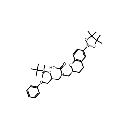 CC1(C)OB(c2ccc3c(c2)CC[C@@H](CN(C[C@@H](COc2ccccc2)O[Si](C)(C)C(C)(C)C)C(=O)O)O3)OC1(C)C